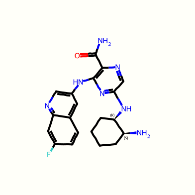 NC(=O)c1ncc(N[C@@H]2CCCC[C@@H]2N)nc1Nc1cnc2cc(F)ccc2c1